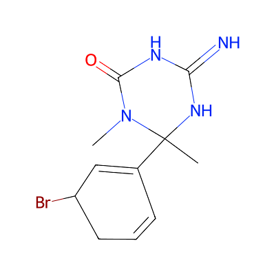 CN1C(=O)NC(=N)NC1(C)C1=CC(Br)CC=C1